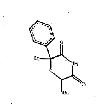 CCCCC1SC(CC)(c2ccccc2)C(=O)NC1=O